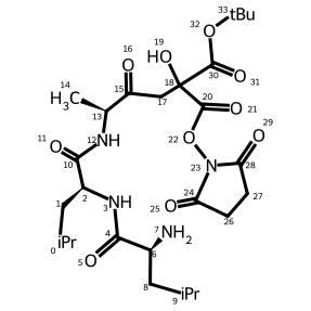 CC(C)C[C@H](NC(=O)[C@@H](N)CC(C)C)C(=O)N[C@@H](C)C(=O)CC(O)(C(=O)ON1C(=O)CCC1=O)C(=O)OC(C)(C)C